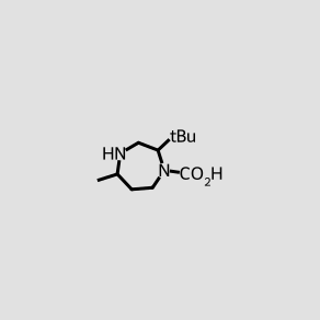 CC1CCN(C(=O)O)C(C(C)(C)C)CN1